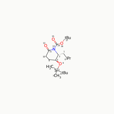 CC(C)C[C@@H]1[C@@H](O[Si](C)(C)C(C)(C)C)CCC(=O)N1C(=O)OC(C)(C)C